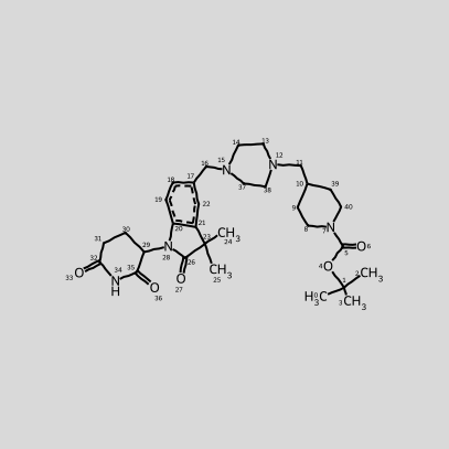 CC(C)(C)OC(=O)N1CCC(CN2CCN(Cc3ccc4c(c3)C(C)(C)C(=O)N4C3CCC(=O)NC3=O)CC2)CC1